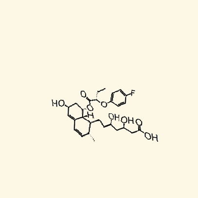 CC[C@H](Oc1ccc(F)cc1)C(=O)O[C@H]1C[C@H](O)C=C2C=C[C@@H](C)[C@H](CC[C@@H](O)C[C@@H](O)CC(=O)O)[C@H]21